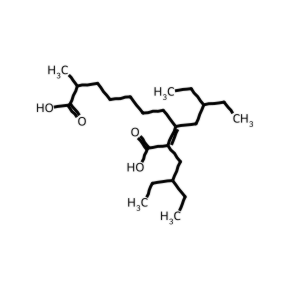 CCC(CC)CC(CCCCCC(C)C(=O)O)=C(CC(CC)CC)C(=O)O